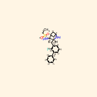 CCS(=O)(=O)N[C@H]1C2CC(C2)N[C@H]1Cc1cccc(-c2ccccc2)c1F